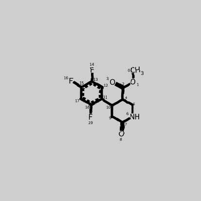 COC(=O)C1CNC(=O)CC1c1cc(F)c(F)cc1F